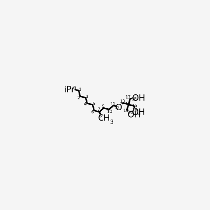 CC(C)CCCCCCC(C)CCCOCC(CO)(CO)CO